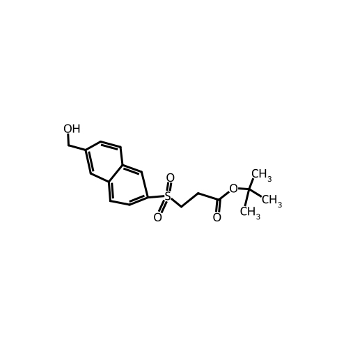 CC(C)(C)OC(=O)CCS(=O)(=O)c1ccc2cc(CO)ccc2c1